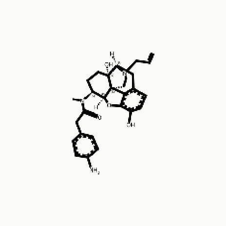 C=CCN1CC[C@]23c4c5ccc(O)c4O[C@H]2[C@@H](N(C)C(=O)Cc2ccc(N)cc2)CC[C@@]3(O)[C@H]1C5